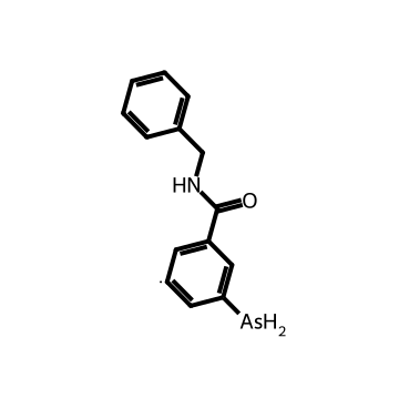 O=C(NCc1ccccc1)c1c[c]cc([AsH2])c1